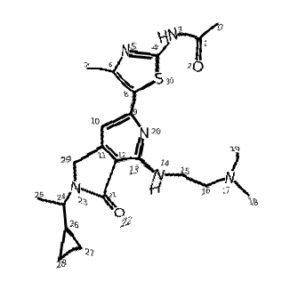 CC(=O)Nc1nc(C)c(-c2cc3c(c(NCCN(C)C)n2)C(=O)N(C(C)C2CC2)C3)s1